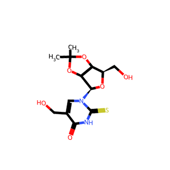 CC1(C)OC2C(O1)[C@@H](CO)O[C@H]2n1cc(CO)c(=O)[nH]c1=S